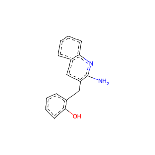 Nc1nc2ccccc2cc1Cc1ccccc1O